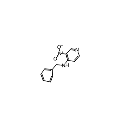 O=[N+]([O-])c1cnccc1NCc1ccccc1